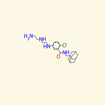 NCCNCCNc1ccc(Cl)c(C(=O)NCC23CC4CC(CC(C4)C2)C3)c1